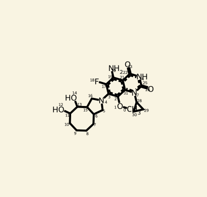 COc1c(N2CC3CCCCC(O)C(O)C3C2)c(F)c(N)c2c(=O)[nH]c(=O)n(C3CC3)c12